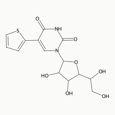 O=c1[nH]c(=O)n(C2OC(C(O)CO)C(O)C2O)cc1-c1cccs1